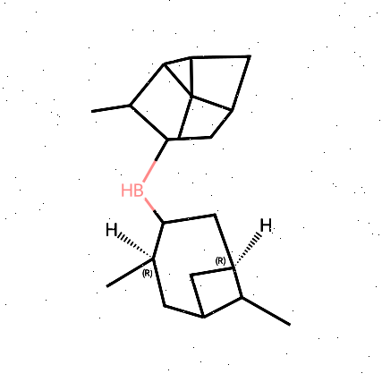 CC1C(BC2C[C@@H]3CC(C[C@H]2C)C3C)CC2CC3C1C23C